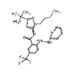 CCCCn1nc(C(C)(C)C)s/c1=N\C(=O)c1cc(C(F)(F)F)ccc1NNc1ccccn1